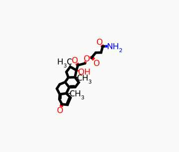 C[C@H]1CC2C3CCC4=CC(=O)C=C[C@]4(C)C3=CC[C@]2(C)[C@@]1(O)C(=O)COC(=O)CCC(N)=O